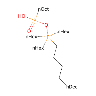 CCCCCCCCCCCCCCP(CCCCCC)(CCCCCC)(CCCCCC)OP(=O)(O)CCCCCCCC